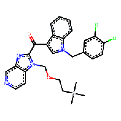 C[Si](C)(C)CCOCn1c(C(=O)c2cn(Cc3ccc(Cl)c(Cl)c3)c3ccccc23)nc2cnccc21